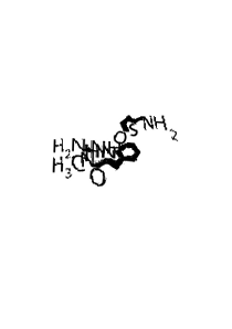 CN(C(=N)N)C(=O)c1cc2cccc(Oc3ccc(CN)s3)c2[nH]1